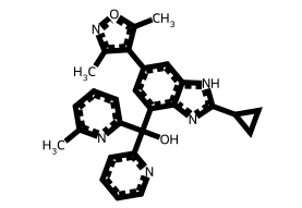 Cc1cccc(C(O)(c2ccccn2)c2cc(-c3c(C)noc3C)cc3[nH]c(C4CC4)nc23)n1